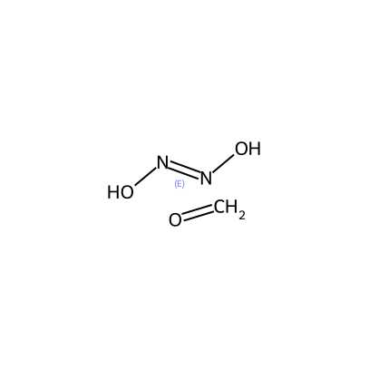 C=O.O/N=N/O